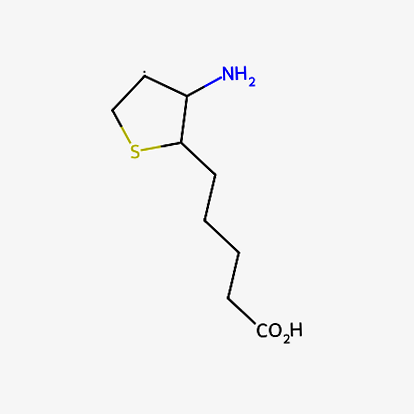 NC1[CH]CSC1CCCCC(=O)O